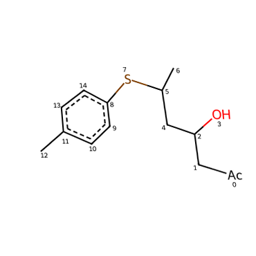 CC(=O)CC(O)CC(C)Sc1ccc(C)cc1